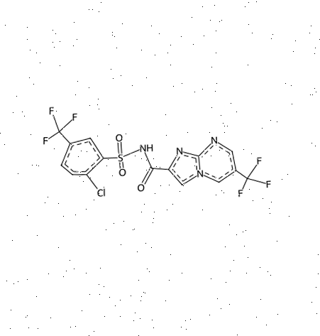 O=C(NS(=O)(=O)c1cc(C(F)(F)F)ccc1Cl)c1cn2cc(C(F)(F)F)cnc2n1